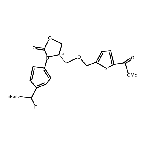 CCCCCC(F)c1ccc(N2C(=O)OC[C@@H]2COCc2ccc(C(=O)OC)s2)cc1